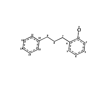 Clc1ccccc1CCCc1ccccc1